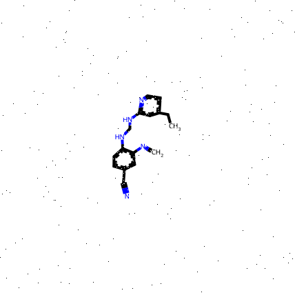 C=Nc1cc(C#N)ccc1NCNc1cc(CC)ccn1